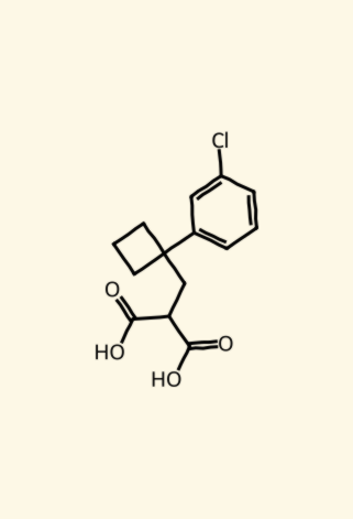 O=C(O)C(CC1(c2cccc(Cl)c2)CCC1)C(=O)O